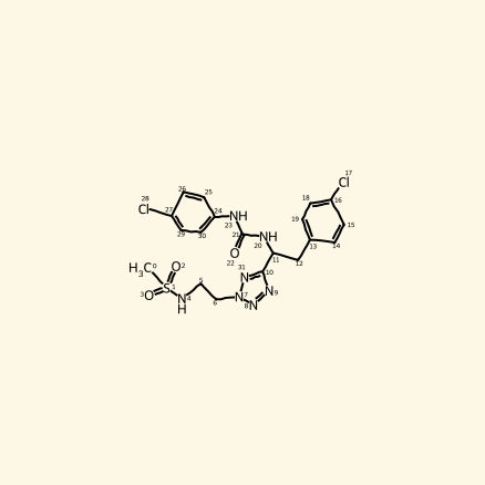 CS(=O)(=O)NCCn1nnc(C(Cc2ccc(Cl)cc2)NC(=O)Nc2ccc(Cl)cc2)n1